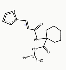 CC(C)[C@@H](C=O)NC(=O)C1(NC(=O)/C=C/c2ccco2)CCCCC1